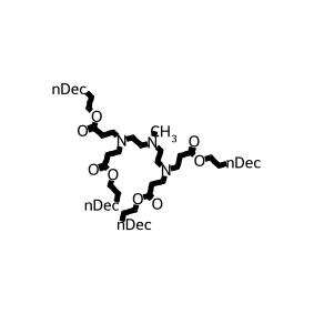 CCCCCCCCCCCCOC(=O)CCN(CCC(=O)OCCCCCCCCCCCC)CCN(C)CCN(CCC(=O)OCCCCCCCCCCCC)CCC(=O)OCCCCCCCCCCCC